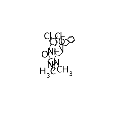 CC(C)c1ncc(C(=O)NCc2ccc(Cl)c(Cl)c2)c(C2CCN(C(=O)Cc3ccccc3F)CC2)n1